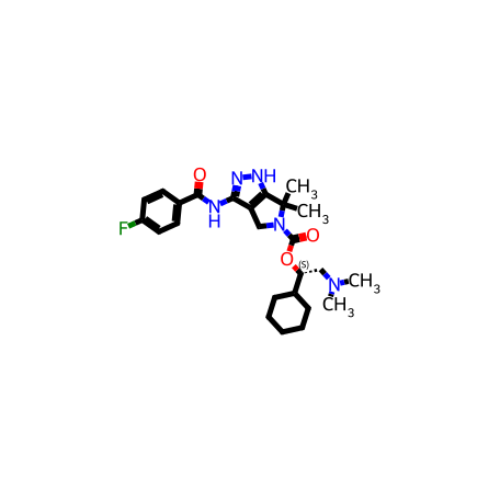 CN(C)C[C@@H](OC(=O)N1Cc2c(NC(=O)c3ccc(F)cc3)n[nH]c2C1(C)C)C1CCCCC1